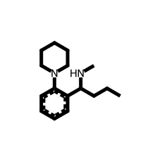 CCCC(NC)c1ccccc1N1CCCCC1